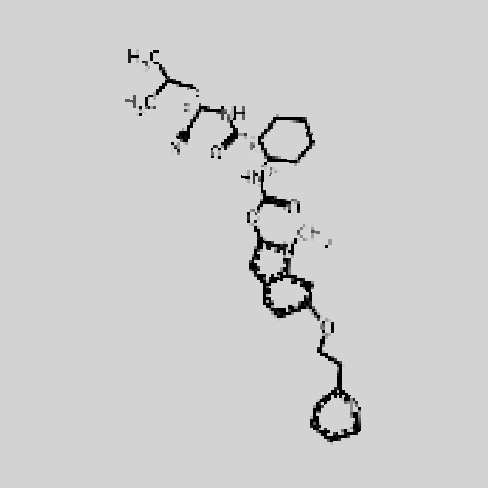 CC(C)C[C@@H](C#N)NC(=O)[C@@H]1CCCC[C@@H]1NC(=O)Oc1cc2ccc(OCCc3ccccn3)cc2n1C